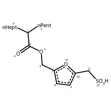 CCCCCCCC(CCCCC)C(=O)OCc1ccc(CS(=O)(=O)O)o1